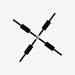 CC#C[B-](C#CC)(C#CC)C#CC